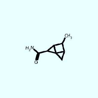 CC1C2CC23C(C(N)=O)C13